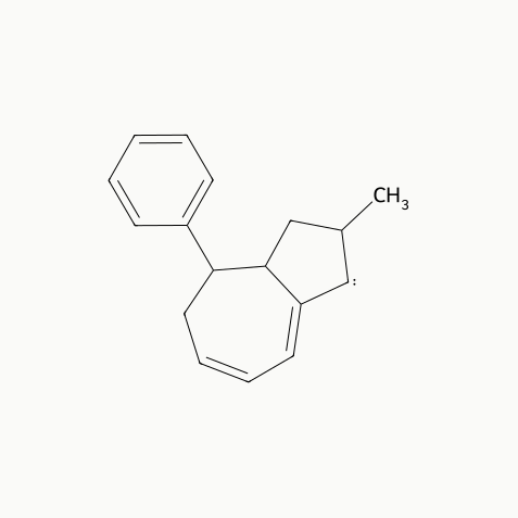 CC1[C]C2=CC=CCC(c3ccccc3)C2C1